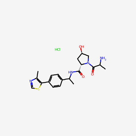 Cc1ncsc1-c1ccc(C(C)NC(=O)[C@@H]2C[C@@H](O)CN2C(=O)C(C)N)cc1.Cl